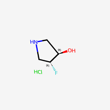 Cl.O[C@@H]1CNC[C@H]1F